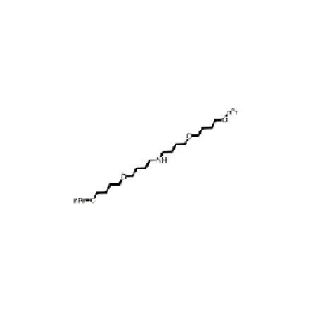 CCCOCCCCOCCCCNCCCCOCCCCOCCC